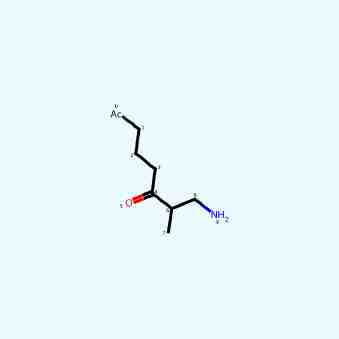 CC(=O)CCCC(=O)C(C)CN